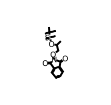 CC(CON1C(=O)c2ccccc2C1=O)O[Si](C)(C)C(C)(C)C